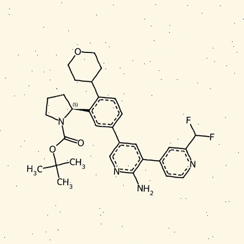 CC(C)(C)OC(=O)N1CCC[C@H]1c1cc(-c2cnc(N)c(-c3ccnc(C(F)F)c3)c2)ccc1C1CCOCC1